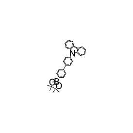 CC1(C)OB(c2ccc(-c3ccc(-n4c5ccccc5c5ccccc54)cc3)cc2)OC1(C)C